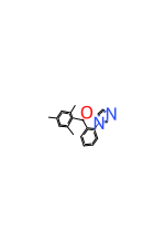 Cc1cc(C)c(C(=O)c2ccccc2-n2ccnc2)c(C)c1